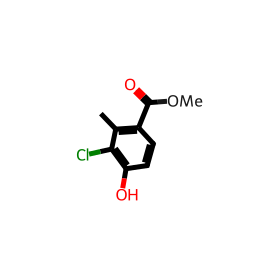 COC(=O)c1ccc(O)c(Cl)c1C